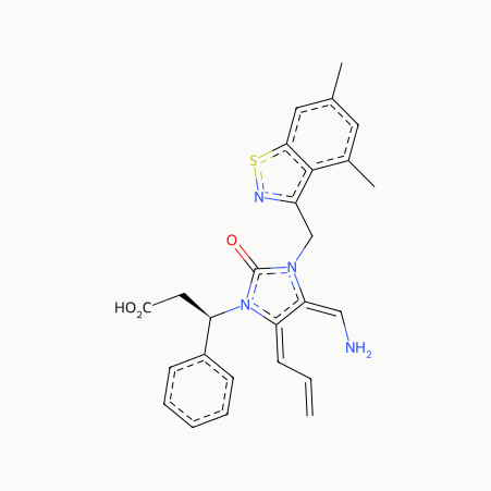 C=C/C=c1\c(=C/N)n(Cc2nsc3cc(C)cc(C)c23)c(=O)n1[C@H](CC(=O)O)c1ccccc1